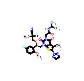 COc1ccc(F)cc1[C@H](Cn1c(=O)n(CC(=O)NC(C)C)c(=O)c2c(C)c(-n3nccn3)sc21)OCC(C)(C)C#N